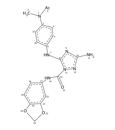 CC(=O)N(C)c1ccc(Nc2nc(N)nn2C(=O)Nc2ccc3c(c2)OCO3)cc1